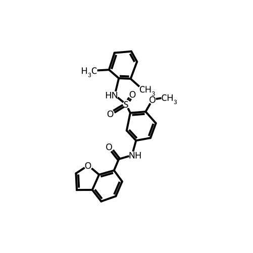 COc1ccc(NC(=O)c2cccc3ccoc23)cc1S(=O)(=O)Nc1c(C)cccc1C